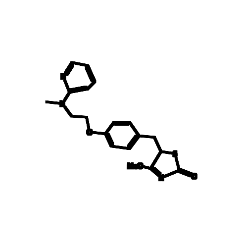 COC1=NC(=O)SC1Cc1ccc(OCCN(C)c2ccccn2)cc1